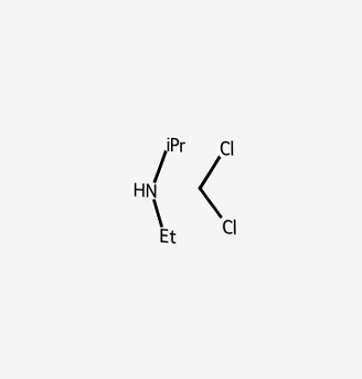 CCNC(C)C.ClCCl